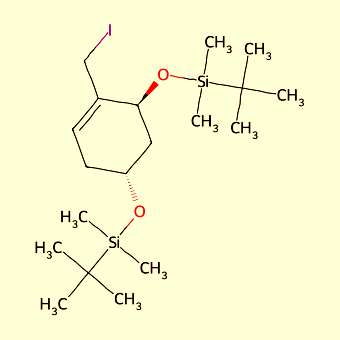 CC(C)(C)[Si](C)(C)O[C@@H]1CC=C(CI)[C@@H](O[Si](C)(C)C(C)(C)C)C1